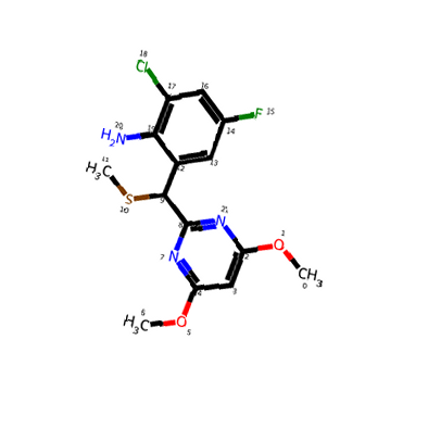 COc1cc(OC)nc(C(SC)c2cc(F)cc(Cl)c2N)n1